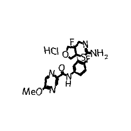 COc1cnc(C(=O)Nc2ccc(F)c([C@]34COC[C@]3(F)CN=C(N)S4)c2)cn1.Cl